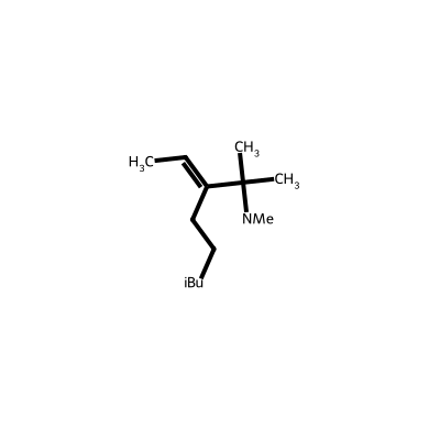 C/C=C(\CCC(C)CC)C(C)(C)NC